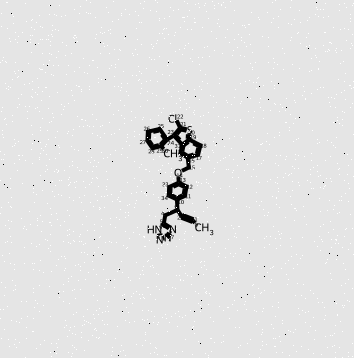 CC#CC(Cc1nnn[nH]1)c1ccc(OCc2ccc3sc(Cl)c(-c4ccccc4C)c3c2)cc1